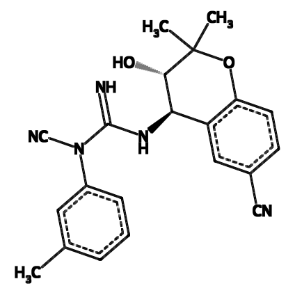 Cc1cccc(N(C#N)C(=N)N[C@@H]2c3cc(C#N)ccc3OC(C)(C)[C@H]2O)c1